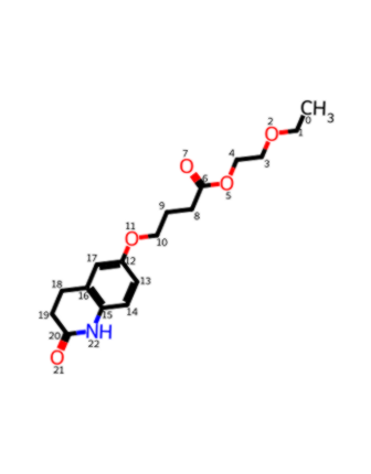 CCOCCOC(=O)CCCOc1ccc2c(c1)CCC(=O)N2